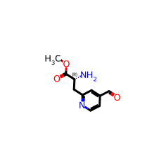 COC(=O)[C@H](N)Cc1cc(C=O)ccn1